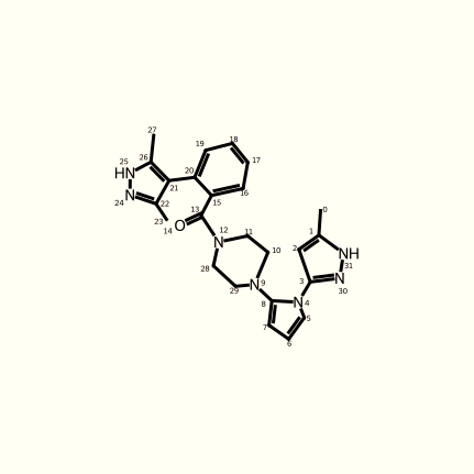 Cc1cc(-n2cccc2N2CCN(C(=O)c3ccccc3-c3c(C)n[nH]c3C)CC2)n[nH]1